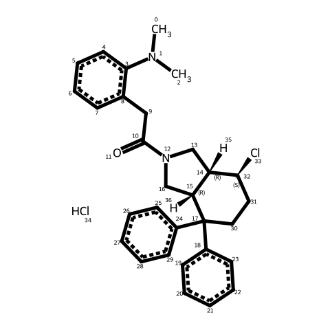 CN(C)c1ccccc1CC(=O)N1C[C@H]2[C@@H](C1)C(c1ccccc1)(c1ccccc1)CC[C@@H]2Cl.Cl